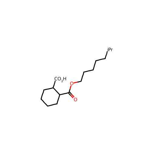 CC(C)CCCCCOC(=O)C1CCCCC1C(=O)O